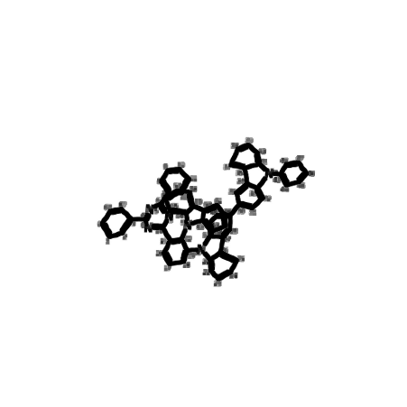 c1ccc(-c2nc(-c3ccccc3)nc(-c3cccc(-n4c5ccccc5c5cc(-c6ccc7c(c6)c6ccccc6n7-c6ccccc6)ccc54)c3-n3c4ccccc4c4ccccc43)n2)cc1